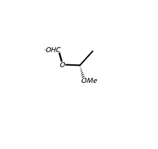 CO[C@@H](C)O[C]=O